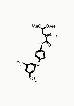 COC(CN(C)C(=O)Nc1ccc(Oc2cc([N+](=O)[O-])cc([N+](=O)[O-])c2)cc1)OC